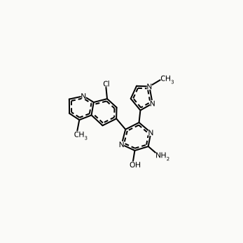 Cc1ccnc2c(Cl)cc(-c3nc(O)c(N)nc3-c3ccn(C)n3)cc12